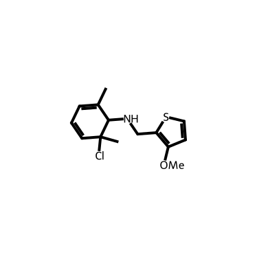 COc1ccsc1CNC1C(C)=CC=CC1(C)Cl